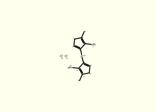 CCCC1=C(C)CC=[C]1[Zr+2][C]1=CCC(C)=C1CCC.[Cl-].[Cl-]